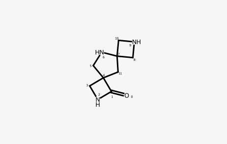 O=C1NCC12CNC1(CNC1)C2